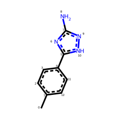 Cc1ccc(-c2nc(N)n[nH]2)cc1